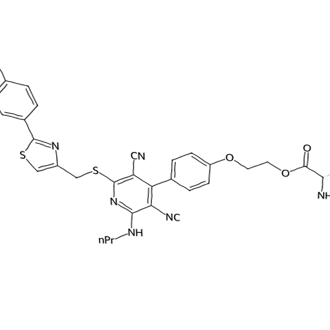 [C-]#[N+]c1c(NCCC)nc(SCc2csc(-c3ccc(Cl)cc3)n2)c(C#N)c1-c1ccc(OCCOC(=O)[C@H](C)N)cc1